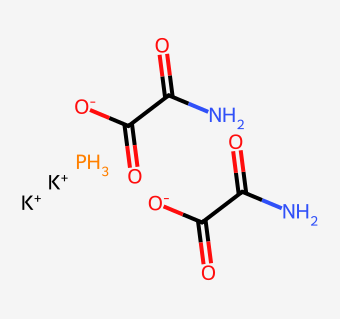 NC(=O)C(=O)[O-].NC(=O)C(=O)[O-].P.[K+].[K+]